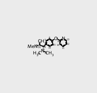 CN[C@@H](C)[C@H](c1ccc(Oc2ccccn2)cc1)N(C)C